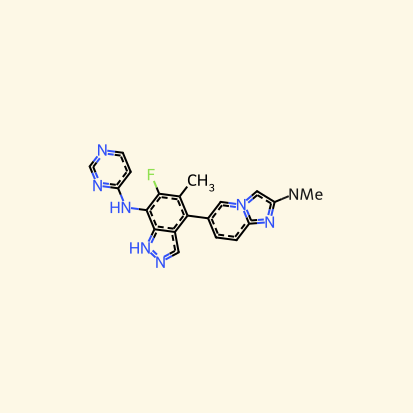 CNc1cn2cc(-c3c(C)c(F)c(Nc4ccncn4)c4[nH]ncc34)ccc2n1